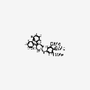 COc1cc(CN2CCC(c3ccccc3)(c3ccccc3)CC2)cc(OC)c1OC